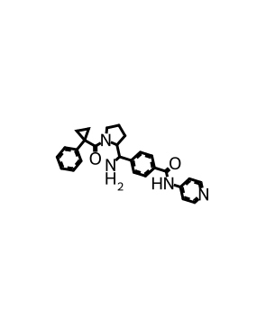 NC(c1ccc(C(=O)Nc2ccncc2)cc1)C1CCCN1C(=O)C1(c2ccccc2)CC1